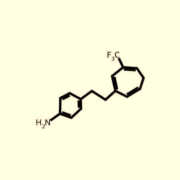 Nc1ccc(CCC2=CC(C(F)(F)F)=CCC=C2)cc1